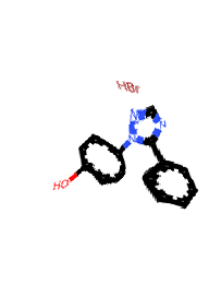 Br.Oc1ccc(-n2ncnc2-c2ccccc2)cc1